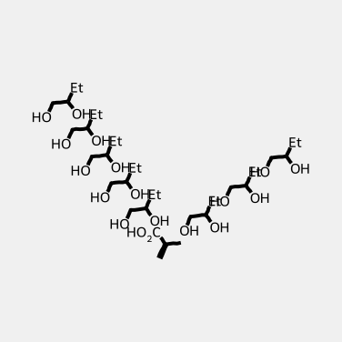 C=C(C)C(=O)O.CCC(O)CO.CCC(O)CO.CCC(O)CO.CCC(O)CO.CCC(O)CO.CCC(O)CO.CCC(O)CO.CCC(O)CO